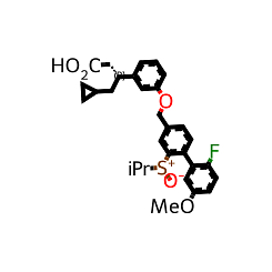 COc1ccc(F)c(-c2ccc(COc3cccc([C@@H](CC(=O)O)CC4CC4)c3)cc2[S+]([O-])C(C)C)c1